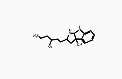 CCCC(S)CCC1CC2(O)c3ccccc3NC2N1